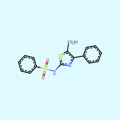 CCOC(=O)c1sc(NS(=O)(=O)c2ccccc2)nc1-c1ccccc1